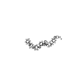 COc1ccc(CN2CCC(NC(=O)c3cccc(OC4CCN(CC5CCN(c6ccccc6)CC5)CC4)c3)CC2)cc1